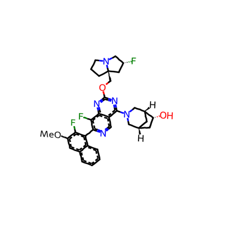 COc1cc2ccccc2c(-c2ncc3c(N4C[C@@H]5C[C@H](C4)[C@H](O)C5)nc(OC[C@@]45CCCN4C[C@H](F)C5)nc3c2F)c1F